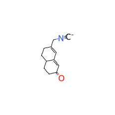 [C-]#[N+]CC1=CC2=CC(=O)CCC2CC1